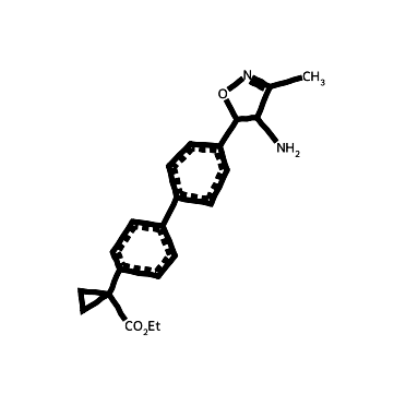 CCOC(=O)C1(c2ccc(-c3ccc(C4ON=C(C)C4N)cc3)cc2)CC1